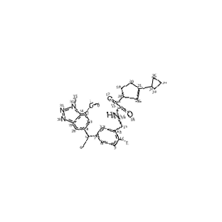 COc1cc(C(C)c2ccc(C)c(CNS(=O)(=O)C3CCC(C4CCC4)C3)c2)cc2nnn(C)c12